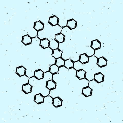 c1ccc(N(c2ccccc2)c2ccc(-c3nc4c5nc(-c6ccc(N(c7ccccc7)c7ccccc7)cc6)c(-c6ccc(N(c7ccccc7)c7ccccc7)cc6)nc5c5nc(-c6ccc(N(c7ccccc7)c7ccccc7)cc6)c(-c6ccc(N(c7ccccc7)c7ccccc7)cc6)nc5c4nc3-c3ccc(N(c4ccccc4)c4ccccc4)cc3)cc2)cc1